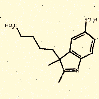 CC1=Nc2ccc(S(=O)(=O)O)cc2C1(C)CCCCC(=O)O